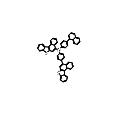 c1ccc2c(-c3ccc(N(c4ccc(-c5cc6sc7ccccc7c6c6ccccc56)cc4)c4cc5sc6ccccc6c5c5ccccc45)cc3)cccc2c1